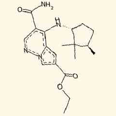 CCOC(=O)c1cc2c(N[C@@H]3CC[C@@H](C)C3(C)C)c(C(N)=O)cnn2c1